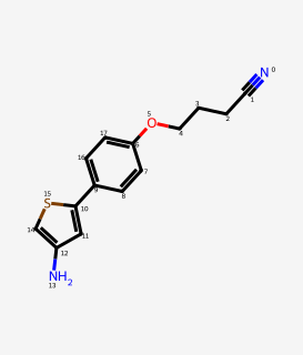 N#CCCCOc1ccc(-c2cc(N)cs2)cc1